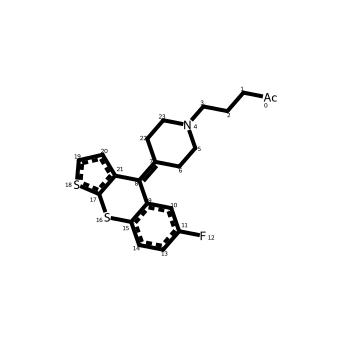 CC(=O)CCCN1CCC(=C2c3cc(F)ccc3Sc3sccc32)CC1